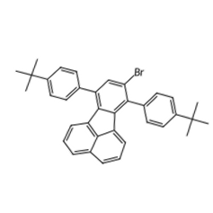 CC(C)(C)c1ccc(-c2cc(Br)c(-c3ccc(C(C)(C)C)cc3)c3c2-c2cccc4cccc-3c24)cc1